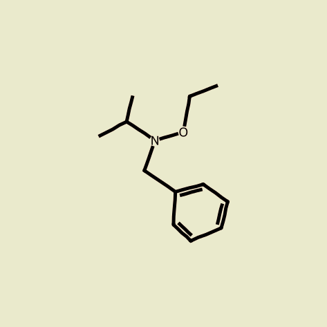 CCON(Cc1ccccc1)C(C)C